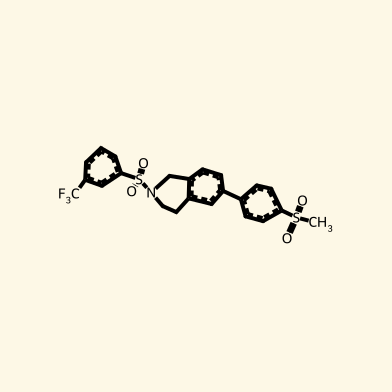 CS(=O)(=O)c1ccc(-c2ccc3c(c2)CCN(S(=O)(=O)c2cccc(C(F)(F)F)c2)C3)cc1